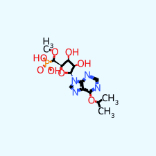 COC([C@@H]1O[C@@H](n2cnc3c(OC(C)C)ncnc32)[C@H](O)[C@@H]1O)P(=O)(O)O